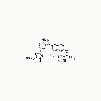 CC(Oc1ccc2cc(-c3n[nH]c4ccc(-c5n[nH]c(CC(C)(C)C)n5)cc34)ccc2c1)C1CN(C)CCN1